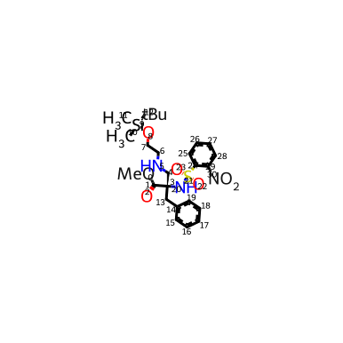 COC(=O)[C@@](CNCCO[Si](C)(C)C(C)(C)C)(Cc1ccccc1)NS(=O)(=O)c1ccccc1[N+](=O)[O-]